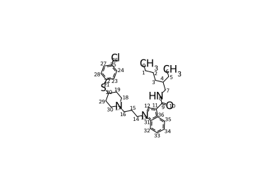 CCCCC(CC)CNC(=O)c1cn(CCCN2CCC(Sc3ccc(Cl)cc3)CC2)c2ccccc12